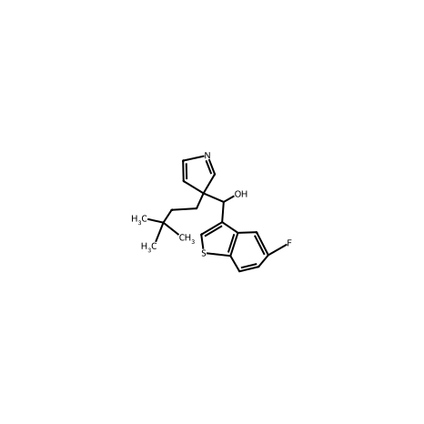 CC(C)(C)CCC1(C(O)c2csc3ccc(F)cc23)C=CN=C1